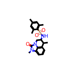 Cc1cc(C)c(S(=O)(=O)NC2Cn3c(=O)n(C)c4cccc(c43)C2C)c(C)c1